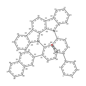 c1ccc(-c2ccc(-n3c4ccccc4c4ccc5c6ccccc6n(-c6ccccc6-c6ccc7ccccc7c6)c5c43)cc2)cc1